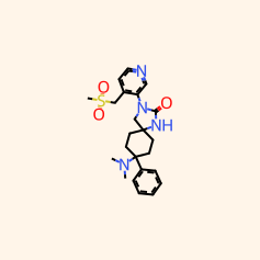 CN(C)C1(c2ccccc2)CCC2(CC1)CN(c1cnccc1CS(C)(=O)=O)C(=O)N2